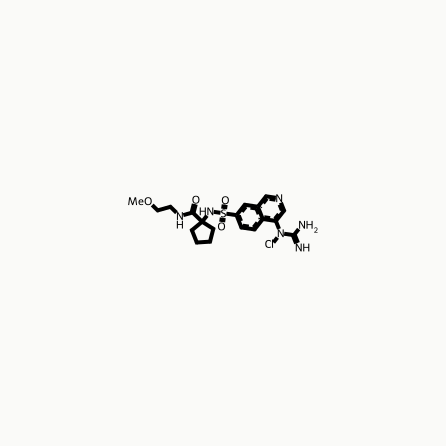 COCCNC(=O)C1(NS(=O)(=O)c2ccc3c(N(Cl)C(=N)N)cncc3c2)CCCC1